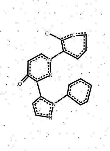 O=c1ccn(-c2ccccc2Cl)nc1-c1ccnn1-c1ccccc1